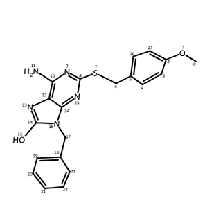 COc1ccc(CSc2nc(N)c3nc(O)n(Cc4ccccc4)c3n2)cc1